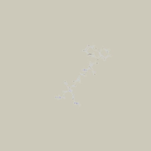 NCCN(CCN)C(=O)CCOCCNC(=O)OCC1c2ccccc2-c2ccccc21